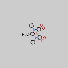 Cc1cc2c3c(c1)N(c1ccccc1)c1cc4c(cc1B3c1cc3c(cc1N2c1ccccc1)OCO3)OCO4